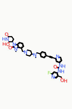 CN(Cc1ccc(C#Cc2cc(NC(=O)Nc3cc(F)ncc3CO)ccn2)cc1)C1CCN(Cc2cccc3c2n(C)c(=O)n3C2CCC(=O)NC2O)CC1